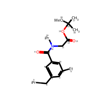 CCc1cc(CC(C)C)cc(C(=O)N(CC(=O)OC(C)(C)OC)C(C)C)c1